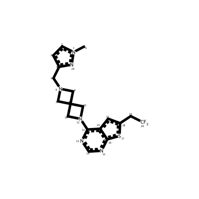 Cn1ccc(CN2CC3(C2)CN(c2ncnc4sc(CC(F)(F)F)cc24)C3)n1